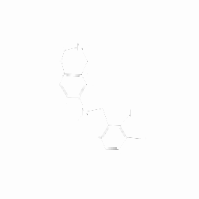 CN(Cc1cccc(I)c1I)c1ccc2c(c1)C[N]CC2